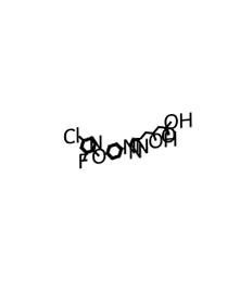 O=C(O)CC(O)Cc1cn(-c2ccc(Oc3ncc(Cl)cc3F)cc2)nn1